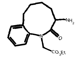 CCOC(=O)CN1C(=O)C(N)CCCCc2ccccc21